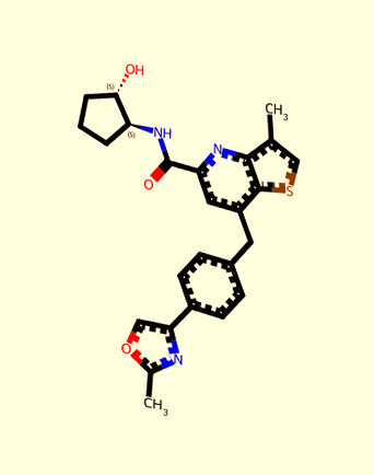 Cc1nc(-c2ccc(Cc3cc(C(=O)N[C@H]4CCC[C@@H]4O)nc4c(C)csc34)cc2)co1